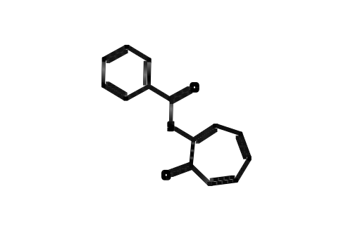 O=C(Sc1cccccc1=O)c1ccccc1